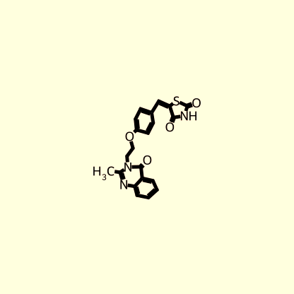 Cc1nc2ccccc2c(=O)n1CCOc1ccc(C=C2SC(=O)NC2=O)cc1